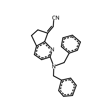 N#C/C=C1\CCc2ccc(N(Cc3ccccc3)Cc3ccccc3)nc21